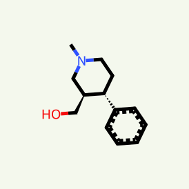 CN1CC[C@H](c2ccccc2)[C@@H](CO)C1